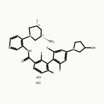 C[C@@H]1C[C@H](N)CN(c2ccncc2NC(=O)c2ccc(F)c(-c3c(F)cc(N4CCC(O)C4)cc3F)c2F)C1.Cl.Cl